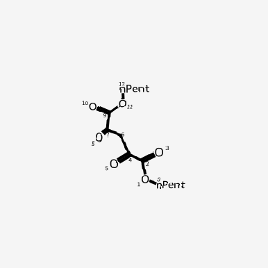 CCCCCOC(=O)C(=O)CC(=O)C(=O)OCCCCC